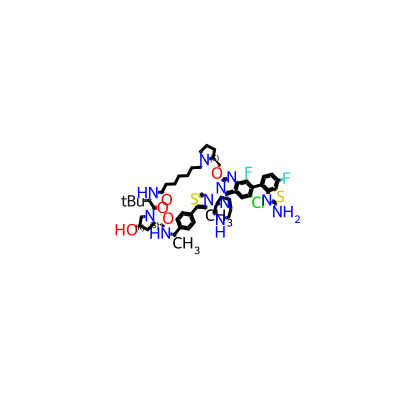 Cc1ncsc1-c1ccc(C(C)NC(=O)[C@@H]2C[C@@H](O)CN2C(=O)C(NC(=O)CCCCCCN2CCC[C@H]2COc2nc(N3C4CCC3CNC4)c3cc(Cl)c(-c4ccc(F)c5sc(N)nc45)c(F)c3n2)C(C)(C)C)cc1